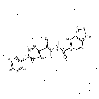 O=C(NNC(=O)c1ccc2c(c1)OCO2)c1cnc(-c2ccccc2)nc1